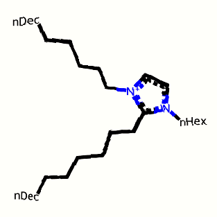 CCCCCCCCCCCCCCCCc1n(CCCCCC)cc[n+]1CCCCCCCCCCCCCCC